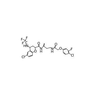 C=C(CCNC(=O)COc1ccc(Cl)c(F)c1)NC(=O)C1CC(NCC(F)(F)F)c2cc(Cl)ccc2O1